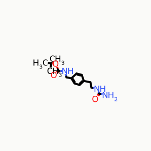 CC(C)(C)OC(=O)NCc1ccc(CCNC(N)=O)cc1